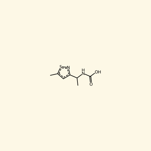 Cc1cc(C(C)NC(=O)O)ns1